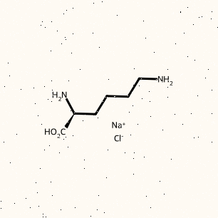 NCCCC[C@H](N)C(=O)O.[Cl-].[Na+]